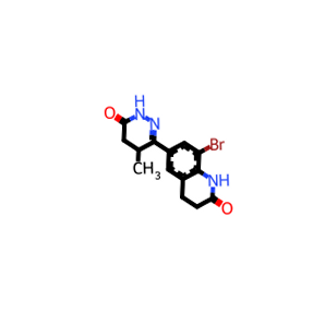 CC1CC(=O)NN=C1c1cc(Br)c2c(c1)CCC(=O)N2